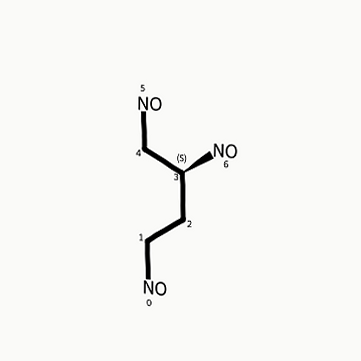 O=NCC[C@@H](CN=O)N=O